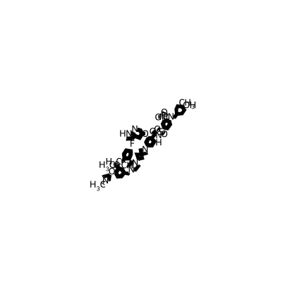 COc1cc(CN2CCN(C3CC4(C3)CN(c3ccc(C(=O)NS(=O)(=O)c5ccc(NCC6CCC(C)(O)CC6)c([N+](=O)[O-])c5)c(Oc5cnc6[nH]cc(F)c6c5)c3)C4)[C@H](c3ccccc3C(C)C)C2)ccc1OC1CN(C)C1